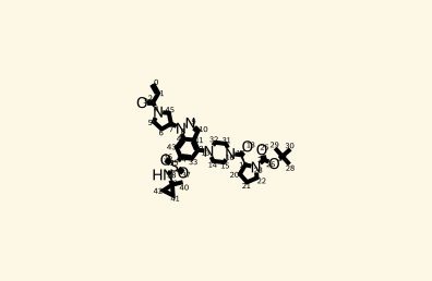 C=CC(=O)N1CCC(n2ncc3c(N4CCN(C(=O)[C@@H]5CCCN5C(=O)OC(C)(C)C)CC4)cc(S(=O)(=O)NC4(C)CC4)cc32)C1